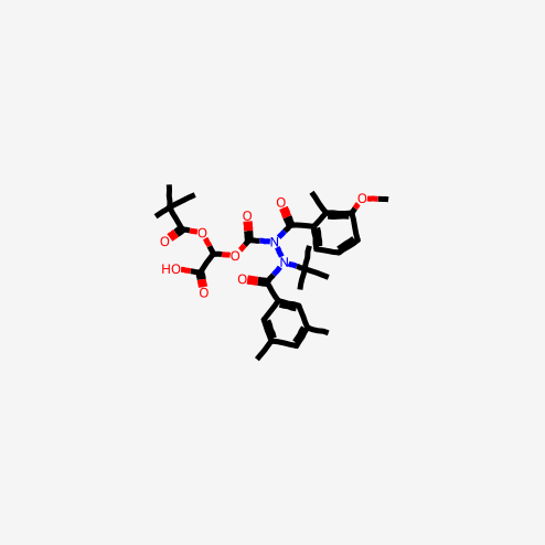 COc1cccc(C(=O)N(C(=O)OC(OC(=O)C(C)(C)C)C(=O)O)N(C(=O)c2cc(C)cc(C)c2)C(C)(C)C)c1C